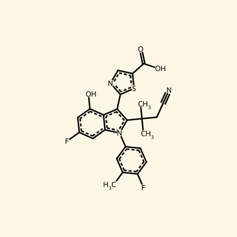 Cc1cc(-n2c(C(C)(C)CC#N)c(-c3ncc(C(=O)O)s3)c3c(O)cc(F)cc32)ccc1F